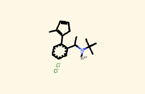 CC1=C(c2ccccc2C(C)[N]([Ti+2])C(C)(C)C)CC=C1.[Cl-].[Cl-]